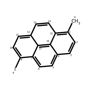 Cc1ccc2ccc3c(I)ccc4ccc1c2c43